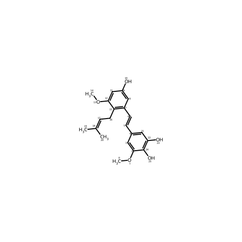 COc1cc(C=Cc2cc(O)cc(OC)c2CC=C(C)C)cc(O)c1O